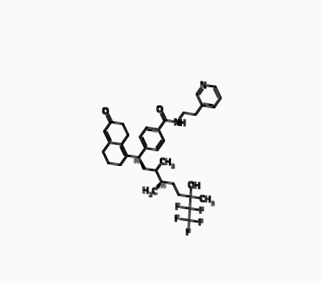 CC(C[C@@H](C1=C2CCC(=O)C=C2CCC1)c1ccc(C(=O)NCCc2cccnc2)cc1)[C@H](C)CCC(C)(O)C(F)(F)C(F)(F)F